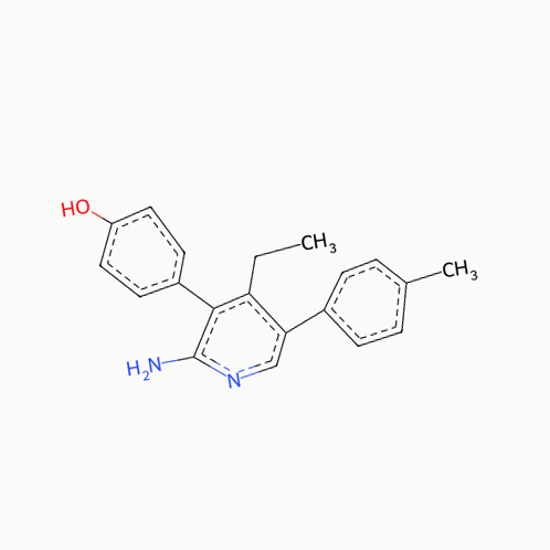 CCc1c(-c2ccc(C)cc2)cnc(N)c1-c1ccc(O)cc1